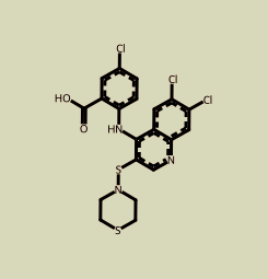 O=C(O)c1cc(Cl)ccc1Nc1c(SN2CCSCC2)cnc2cc(Cl)c(Cl)cc12